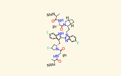 CN[C@@H](C)C(=O)N[C@H](C(=O)N1C[C@@H](F)C[C@H]1Cc1c(-c2nc3cc(F)ccc3n2CC[C@@H]2[C@H]3CC[C@H]3CN2C(=O)[C@@H](NC(=O)[C@H](C)NC)C(C)C)[nH]c2cc(F)ccc12)C(C)C